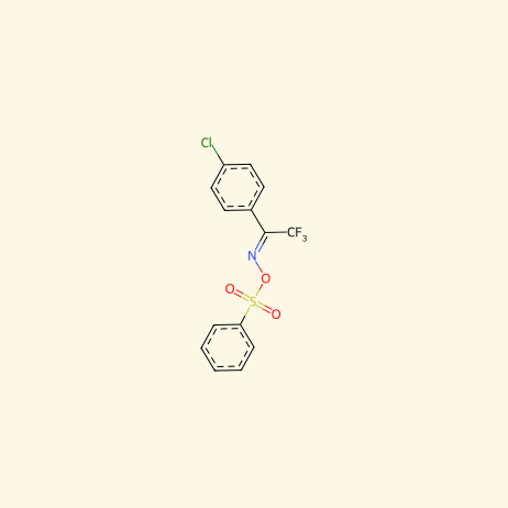 O=S(=O)(O/N=C(/c1ccc(Cl)cc1)C(F)(F)F)c1ccccc1